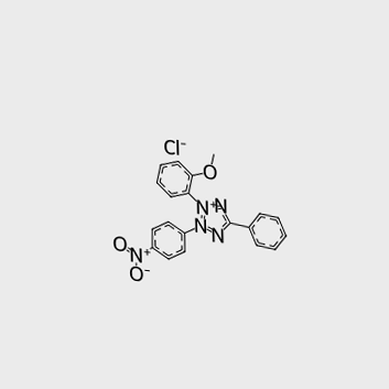 COc1ccccc1-[n+]1nc(-c2ccccc2)nn1-c1ccc([N+](=O)[O-])cc1.[Cl-]